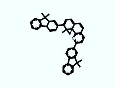 CC1(C)c2ccccc2-c2ccc(-c3ccc4c(n3)[C@]35CC3(C)C(C3=CC6C(C=C3)c3ccccc3C6(C)C)=CC=C5C=C4)cc21